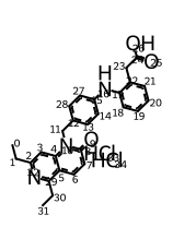 CCc1cc2c(ccc(=O)n2Cc2ccc(Nc3ccccc3CC(=O)O)cc2)c(CC)n1.Cl.Cl